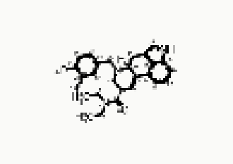 CCN(CC)C(=O)[C@@H]1C=C2c3cccc4[nH]cc(c34)C[C@H]2N(Cc2ccc(F)c(F)c2)C1